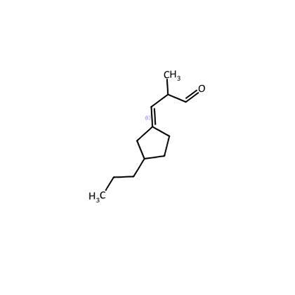 CCCC1CC/C(=C\C(C)C=O)C1